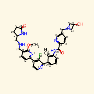 COc1nc(-c2ccnc(-c3cccc(NC(=O)c4ccc(CN5CC(O)C5)cn4)c3C)c2Cl)ccc1CNCC1CCC(=O)N1